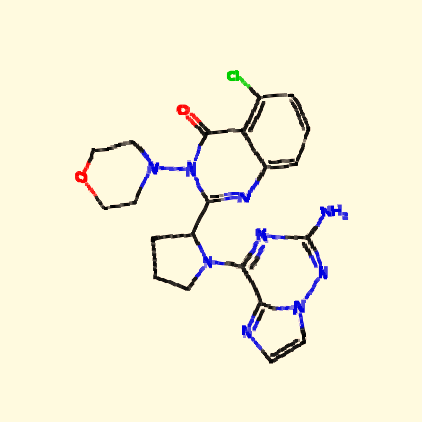 Nc1nc(N2CCCC2c2nc3cccc(Cl)c3c(=O)n2N2CCOCC2)c2nccn2n1